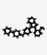 Nc1ncccc1-c1nc2cccnc2n1-c1ccc(CN2CCN(c3ccncn3)CC2)cc1